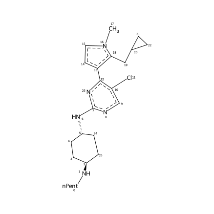 CCCCCN[C@H]1CC[C@H](Nc2ncc(Cl)c(-c3ccn(C)c3CC3CC3)n2)CC1